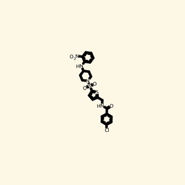 O=C(NCc1ccc(S(=O)(=O)N2CCC(Nc3ccccc3[N+](=O)[O-])CC2)s1)c1ccc(Cl)cc1